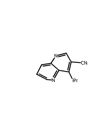 CC(C)c1c(C#N)cnc2cccnc12